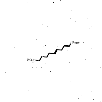 CCCCCC=CCC=CCCCCC(=O)O